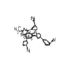 Cc1nc(C)nc(-c2cc(C#N)ccc2-n2c3ccc(-c4cccc(C#N)c4)cc3c3cc(-c4cccc(C#N)c4)ccc32)n1